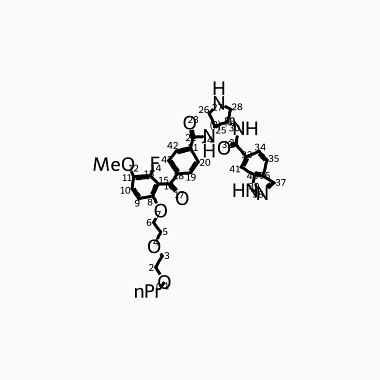 CCCOCCOCCOc1ccc(OC)c(F)c1C(=O)c1ccc(C(=O)N[C@@H]2CNC[C@@H]2NC(=O)c2ccc3cn[nH]c3c2)cc1